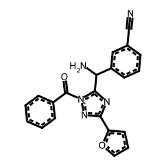 N#Cc1cccc(C(N)c2nc(-c3ccco3)nn2C(=O)c2ccccc2)c1